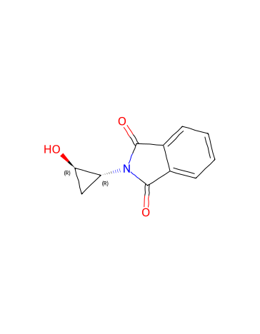 O=C1c2ccccc2C(=O)N1[C@@H]1C[C@H]1O